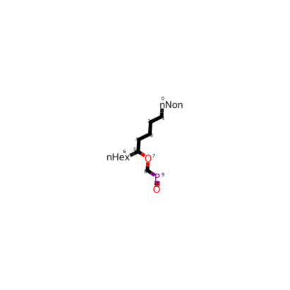 CCCCCCCCCCCCCC(CCCCCC)OCP=O